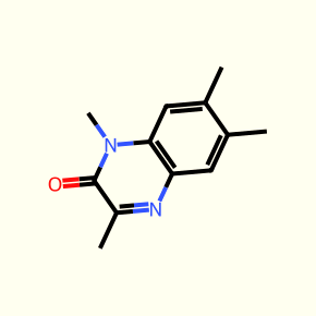 Cc1cc2nc(C)c(=O)n(C)c2cc1C